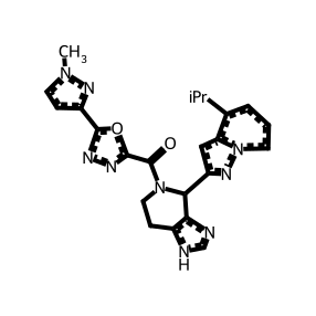 CC(C)c1cccn2nc(C3c4nc[nH]c4CCN3C(=O)c3nnc(-c4ccn(C)n4)o3)cc12